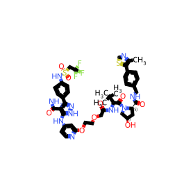 Cc1ncsc1-c1ccc(CNC(=O)[C@@H]2C[C@@H](O)CN2C(=O)C(NC(=O)COCCOc2cc(Nc3[nH]nc(-c4ccc(NS(=O)(=O)CC(F)(F)F)cc4)c3C(N)=O)ccn2)C(C)(C)C)cc1